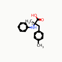 Cc1ccc(C[C@](C)(Nc2ccccc2)C(=O)O)cc1